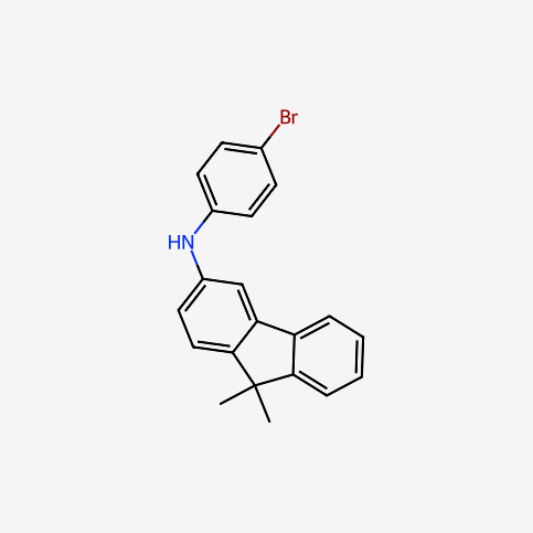 CC1(C)c2ccccc2-c2cc(Nc3ccc(Br)cc3)ccc21